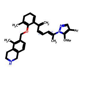 C=C(/C=C\C=C(/C)n1ncc(C(C)=O)c1OC)C1=CCCC(C)=C1OCc1ccc2c(c1C)CCNC2